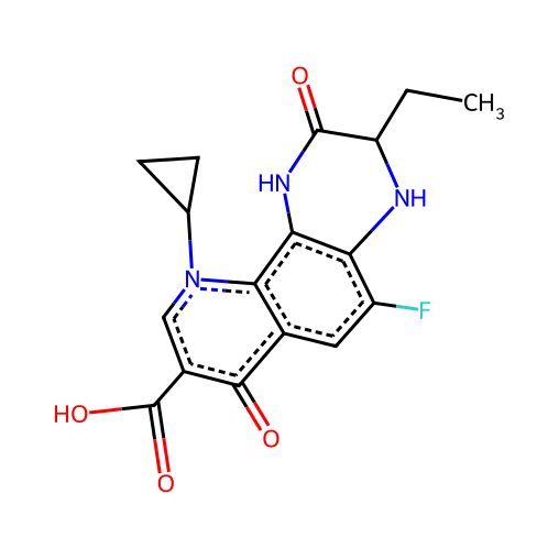 CCC1Nc2c(F)cc3c(=O)c(C(=O)O)cn(C4CC4)c3c2NC1=O